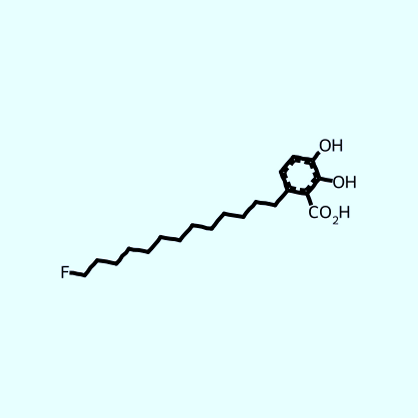 O=C(O)c1c(CCCCCCCCCCCCCF)ccc(O)c1O